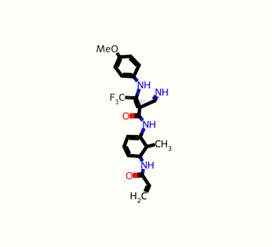 C=CC(=O)NC1C=CC=C(NC(=O)/C(C=N)=C(/Nc2ccc(OC)cc2)C(F)(F)F)C1C